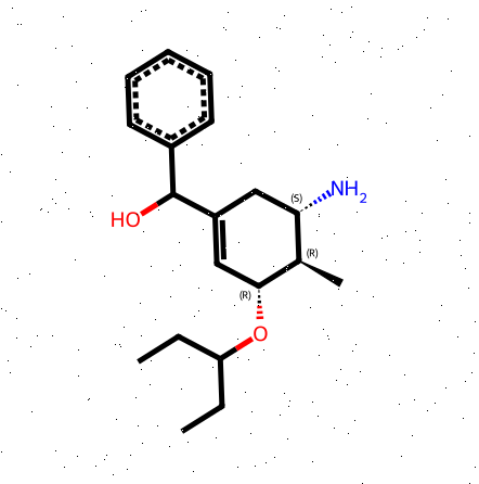 CCC(CC)O[C@@H]1C=C(C(O)c2ccccc2)C[C@H](N)[C@H]1C